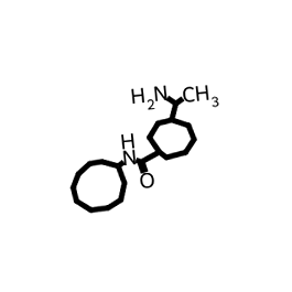 CC(N)C1CCCCC(C(=O)NC2CCCCCCCCC2)CC1